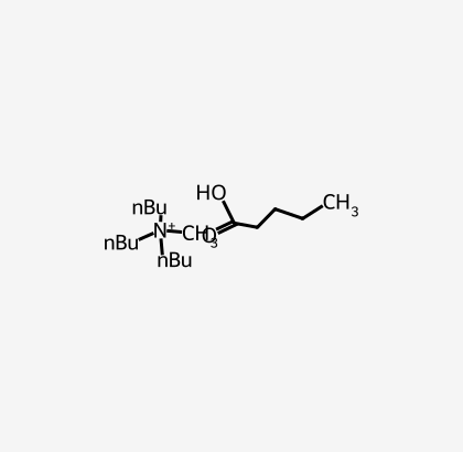 CCCCC(=O)O.CCCC[N+](C)(CCCC)CCCC